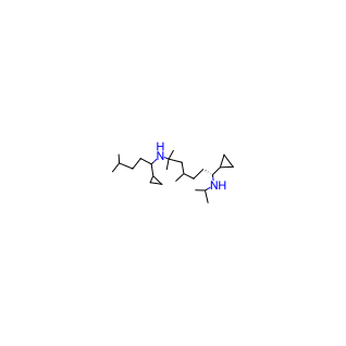 CC(C)CCC(NC(C)(C)CC(C)CC[C@@H](NC(C)C)C1CC1)C1CC1